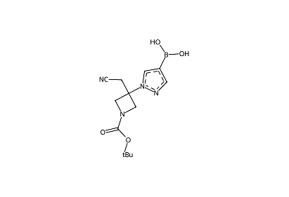 CC(C)(C)OC(=O)N1CC(CC#N)(n2cc(B(O)O)cn2)C1